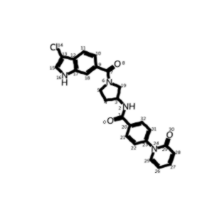 O=C(NC1CCN(C(=O)c2ccc3c(Cl)c[nH]c3c2)C1)c1ccc(-n2ccccc2=O)cc1